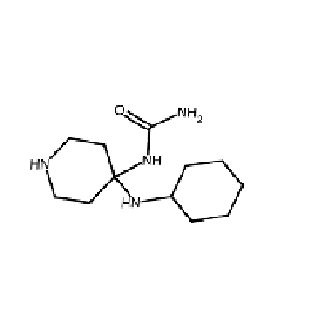 NC(=O)NC1(NC2CCCCC2)CCNCC1